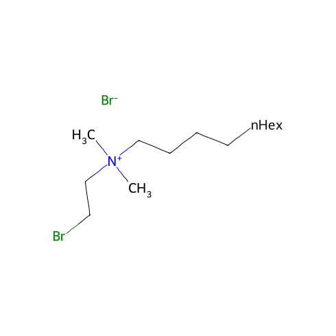 CCCCCCCCCC[N+](C)(C)CCBr.[Br-]